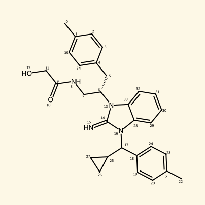 Cc1ccc(C[C@@H](CNC(=O)CO)n2c(=N)n(C(c3ccc(C)cc3)C3CC3)c3ccccc32)cc1